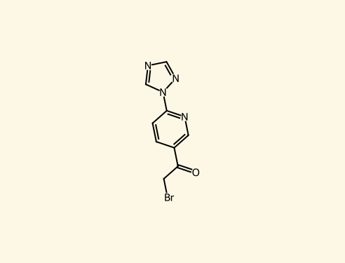 O=C(CBr)c1ccc(-n2cncn2)nc1